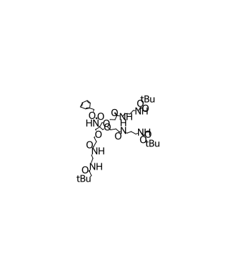 CC(C)(C)CC(=O)NCCCNC(=O)CCOCC(COCCC(=O)NCCCNC(=O)OC(C)(C)C)(COCCC(=O)NCCCNC(=O)OC(C)(C)C)NC(=O)OCc1ccccc1